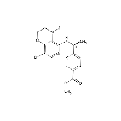 COC(=O)c1ccc([C@H](C)Nc2ncc(Br)c3c2N(F)CCO3)cc1